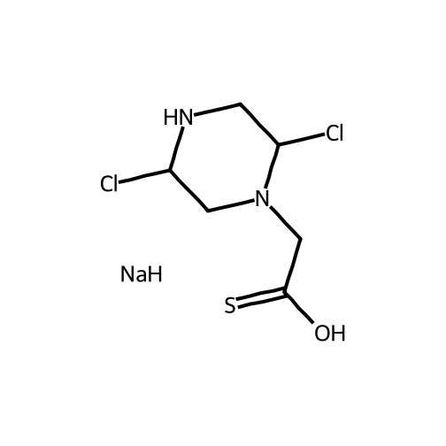 OC(=S)CN1CC(Cl)NCC1Cl.[NaH]